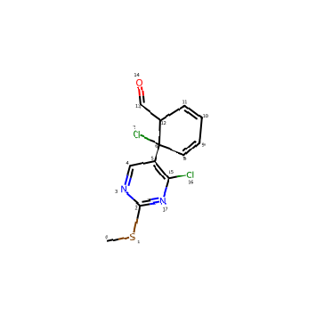 CSc1ncc(C2(Cl)C=CC=CC2C=O)c(Cl)n1